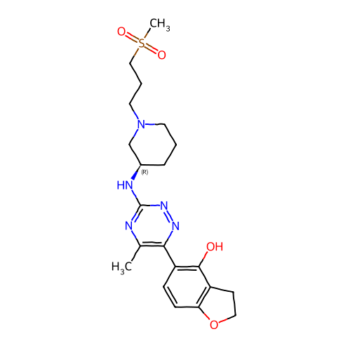 Cc1nc(N[C@@H]2CCCN(CCCS(C)(=O)=O)C2)nnc1-c1ccc2c(c1O)CCO2